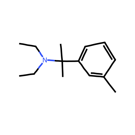 CCN(CC)C(C)(C)c1cccc(C)c1